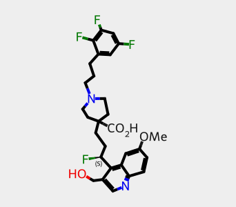 COc1ccc2ncc(CO)c([C@@H](F)CCC3(C(=O)O)CCN(CCCc4cc(F)cc(F)c4F)CC3)c2c1